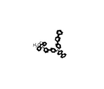 CC1(C)c2ccccc2N(c2cccc(-c3ccc(N(c4ccc(-c5ccccc5)cc4)c4ccc(-c5ccc(-c6ccccc6)cc5)cc4)cc3)c2)c2ccccc21